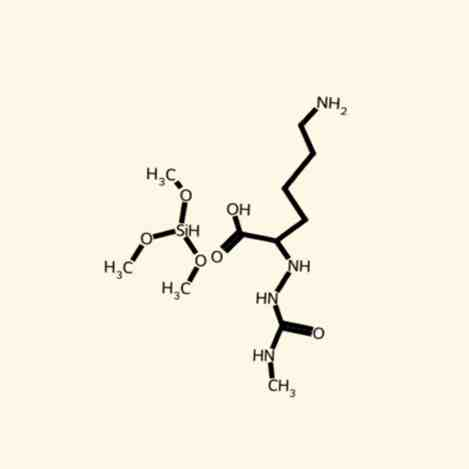 CNC(=O)NNC(CCCCN)C(=O)O.CO[SiH](OC)OC